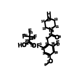 COc1cc(F)c(CC(=O)N2CCNCC2)c(F)c1.O=C(O)C(F)(F)F